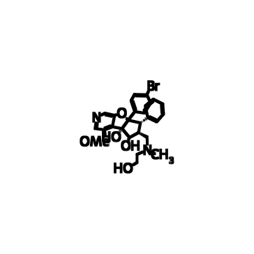 COc1cncc2c1[C@]1(O)[C@H](O)[C@H](CN(C)CCO)[C@@H](c3ccccc3)C1(c1ccc(Br)cc1)O2